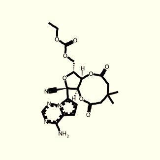 CCOC(=O)OC[C@H]1O[C@@](C#N)(c2ccc3c(N)ncnn23)[C@@H]2OC(=O)CC(C)(C)CC(=O)O[C@@H]21